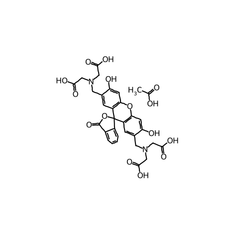 CC(=O)O.O=C(O)CN(CC(=O)O)Cc1cc2c(cc1O)Oc1cc(O)c(CN(CC(=O)O)CC(=O)O)cc1C21OC(=O)c2ccccc21